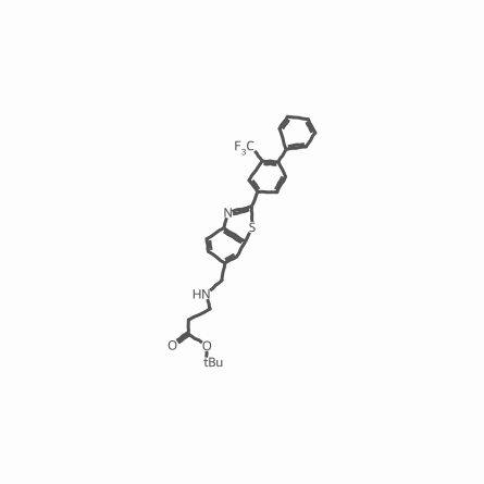 CC(C)(C)OC(=O)CCNCc1ccc2nc(-c3ccc(-c4ccccc4)c(C(F)(F)F)c3)sc2c1